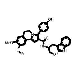 COc1cc2c(cc1OC(C)C)-c1cc(C(=O)NC(CO)Cc3c[nH]c4ccccc34)c(-c3ccc(O)cc3)n1CC2